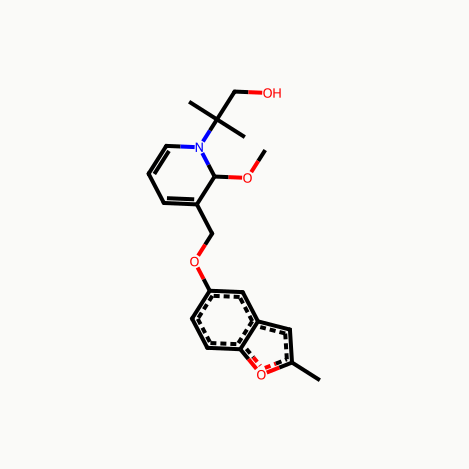 COC1C(COc2ccc3oc(C)cc3c2)=CC=CN1C(C)(C)CO